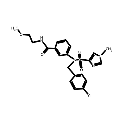 COCCNC(=O)c1cccc(N(Cc2ccc(Cl)cc2)S(=O)(=O)c2cn(C)cn2)c1